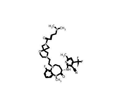 Cc1cc(C(F)(F)F)c(C#N)c(N[C@H]2CCN(CCN3CCOC4(C3)CN(C(=O)/C=C/CN(C)C)C4)c3c(F)cccc3N(C)C2=O)n1